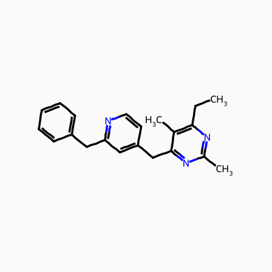 CCc1nc(C)nc(Cc2ccnc(Cc3ccccc3)c2)c1C